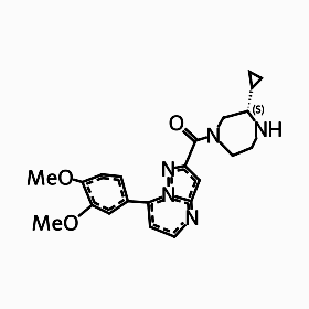 COc1ccc(-c2ccnc3cc(C(=O)N4CCN[C@@H](C5CC5)C4)nn23)cc1OC